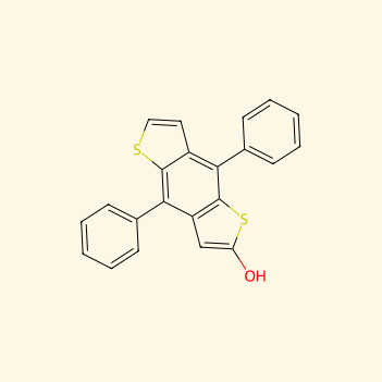 Oc1cc2c(-c3ccccc3)c3sccc3c(-c3ccccc3)c2s1